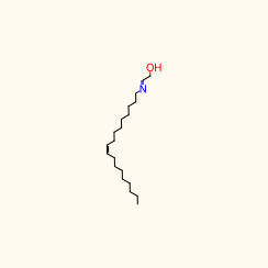 CCCCCCCC/C=C\CCCCCCCCN=CCO